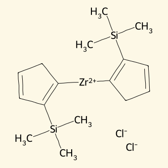 C[Si](C)(C)C1=[C]([Zr+2][C]2=C([Si](C)(C)C)C=CC2)CC=C1.[Cl-].[Cl-]